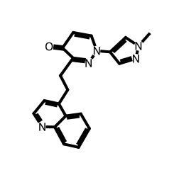 Cn1cc(-n2ccc(=O)c(CCc3ccnc4ccccc34)n2)cn1